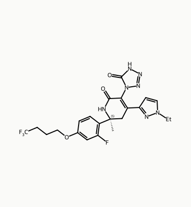 CCn1ccc(C2=C(n3nn[nH]c3=O)C(=O)N[C@](C)(c3ccc(OCCCC(F)(F)F)cc3F)C2)n1